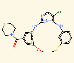 O=C(c1cc2cc(c1)OCCSc1cccc(c1)Nc1nc(ncc1Cl)N2)N1CCOCC1